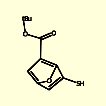 CC(C)(C)OC(=O)c1cc2cc(S)c1o2